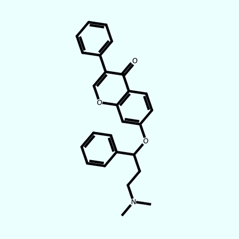 CN(C)CCC(Oc1ccc2c(=O)c(-c3ccccc3)coc2c1)c1ccccc1